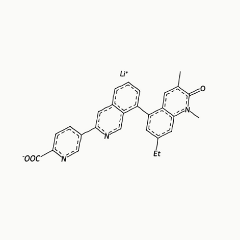 CCc1cc(-c2cccc3cc(-c4ccc(C(=O)[O-])nc4)ncc23)c2cc(C)c(=O)n(C)c2c1.[Li+]